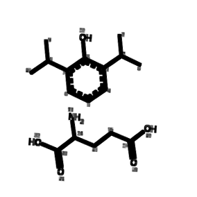 CC(C)c1cccc(C(C)C)c1O.NC(CCC(=O)O)C(=O)O